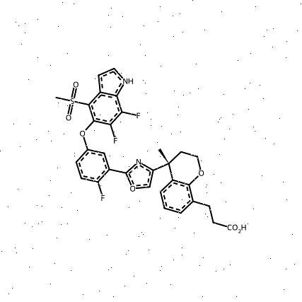 C[C@@]1(c2coc(-c3cc(Oc4c(F)c(F)c5[nH]ccc5c4S(C)(=O)=O)ccc3F)n2)CCOc2c(CCC(=O)O)cccc21